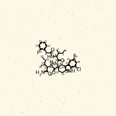 CCC(C)[C@H](NC(=O)Cc1ccccc1F)C(=O)N[C@]1(C(=O)NC(C(N)=O)[C@@H](C)CC)CCc2[nH]c3c(Cl)cc(F)cc3c2C1